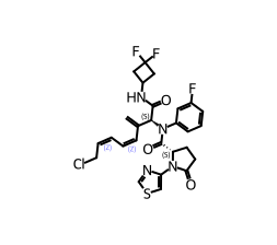 C=C(/C=C\C=C/CCl)[C@@H](C(=O)NC1CC(F)(F)C1)N(C(=O)[C@@H]1CCC(=O)N1c1cscn1)c1cccc(F)c1